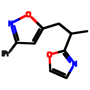 CC(C)c1cc(CC(C)c2ncco2)on1